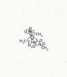 CC(=O)N1CC(=O)N/C(=C\c2nc(CC(C)C)n(C3COCCN3)c2C(C)C)C1=O